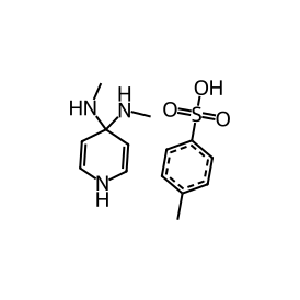 CNC1(NC)C=CNC=C1.Cc1ccc(S(=O)(=O)O)cc1